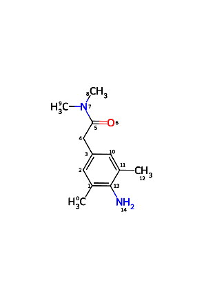 Cc1cc(CC(=O)N(C)C)cc(C)c1N